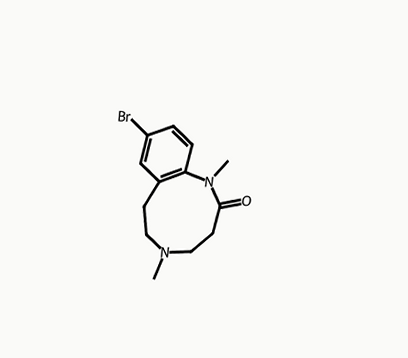 CN1CCC(=O)N(C)c2ccc(Br)cc2CC1